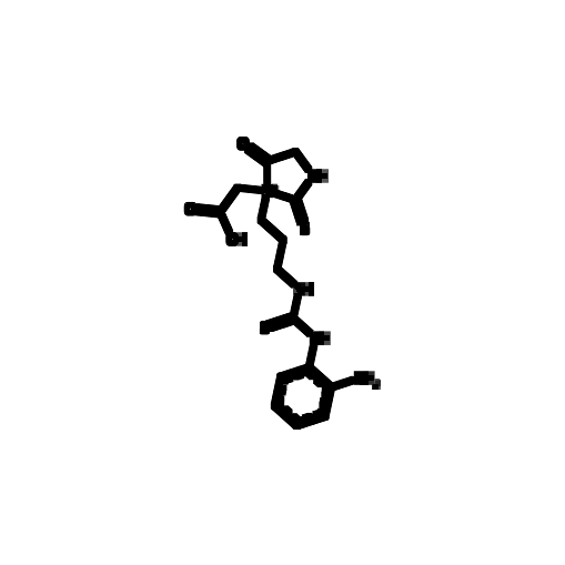 Nc1ccccc1NC(=S)NCCC[N+]1(CC(=O)O)C(=O)CNC1=S